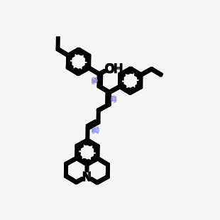 CCc1ccc(/C(O)=C/C(=C\C/C=C/c2cc3c4c(c2)CCCN4CCC3)c2ccc(CC)cc2)cc1